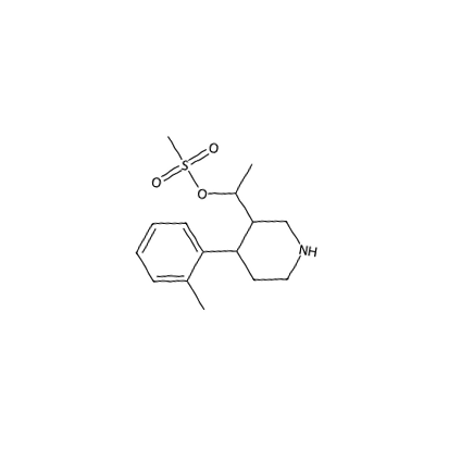 Cc1ccccc1C1CCNCC1C(C)OS(C)(=O)=O